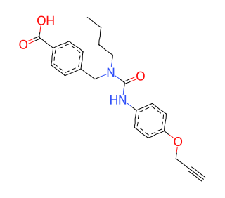 C#CCOc1ccc(NC(=O)N(CCCC)Cc2ccc(C(=O)O)cc2)cc1